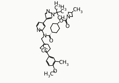 COc1ccc(C23CCC(CN(c4cc(-c5cnn(C(C)(C)C)c5)ccn4)C(=O)[C@H]4CC[C@H](OC(=O)N5CC(C)C5)CC4)(CC2)CC3)cc1C